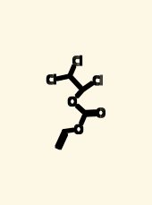 C=COC(=O)OC(Cl)C(Cl)Cl